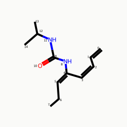 C=C/C=C\C(=C/CC)NC(=O)NC(C)C